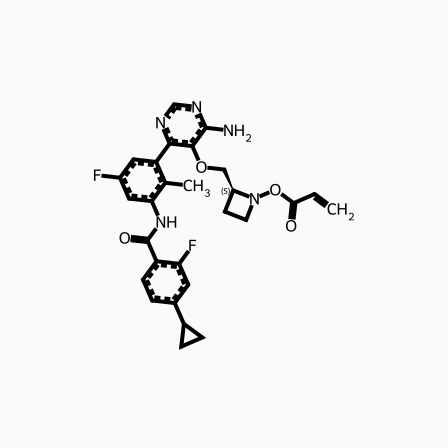 C=CC(=O)ON1CC[C@H]1COc1c(N)ncnc1-c1cc(F)cc(NC(=O)c2ccc(C3CC3)cc2F)c1C